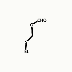 CCSCO[C]=O